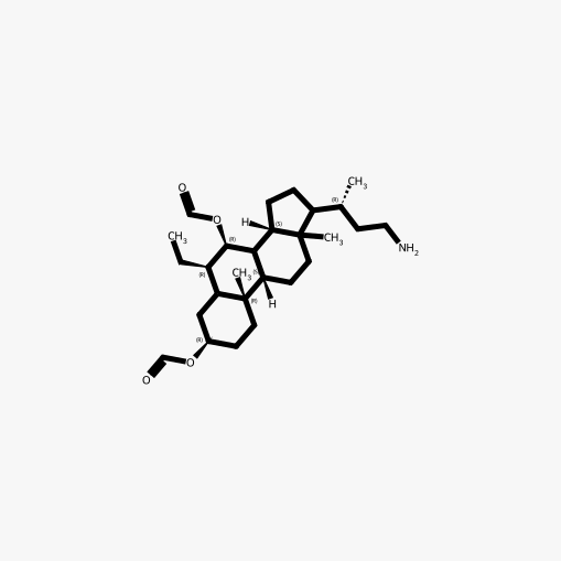 CC[C@@H]1C2C[C@H](OC=O)CC[C@@]2(C)[C@H]2CCC3(C)C([C@H](C)CCN)CC[C@H]3C2[C@@H]1OC=O